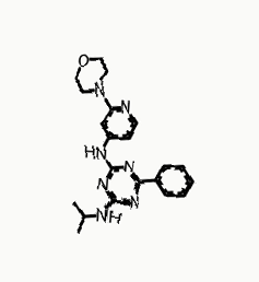 CC(C)Nc1nc(Nc2ccnc(N3CCOCC3)c2)nc(-c2ccccc2)n1